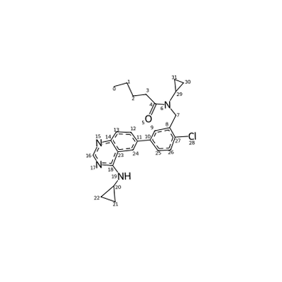 CCCCC(=O)N(Cc1cc(-c2ccc3ncnc(NC4CC4)c3c2)ccc1Cl)C1CC1